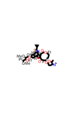 CCOC(C(OC)C(C)C)C(OC)C(OC)O[C@H]1C[C@H]2[C@@H]3C=C4C(=O)[C@H](C)[C@@H](O[C@H]5CC[C@H](N(C)C)C(C)O5)CCC[C@H](CC)OC(=O)C[C@H]4[C@@H]3c3nc(C4CC4)sc3[C@@H]2C1